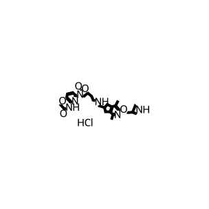 Cc1nc(OCC2CNC2)c(C)c2c1CC(CNCCC1CN(c3ccc4c(n3)NC(=O)CO4)C(=O)O1)C2.Cl